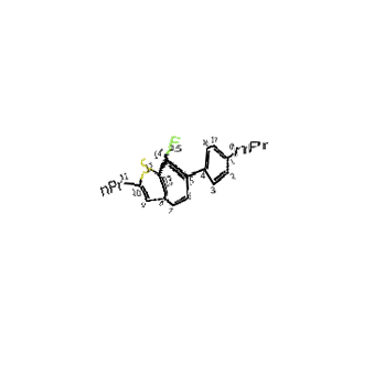 CCCc1ccc(-c2ccc3cc(CCC)sc3c2F)cc1